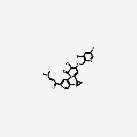 Cc1cnc(C(=O)/C=C/N(C)C)cc1-n1c(C2CC2)cc(OCc2ncc(F)cc2F)c(Cl)c1=O